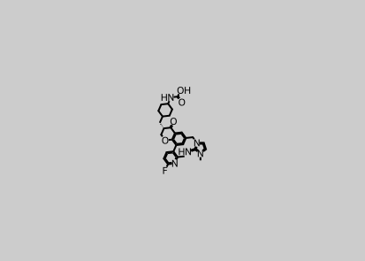 Cc1nc(F)ccc1-c1cc(Cn2ccn(C)c2=N)cc2c1OC[C@H](CC1CCC(NC(=O)O)CC1)C2=O